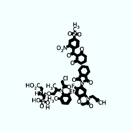 C#CCN1C(=O)COc2cc(F)c(N3C(=O)C4=C(CCCC4)C3=O)cc21.CCc1cccc(C)c1N(C(=O)CCl)C(C)COC.CS(=O)(=O)c1ccc(C(=O)C2C(=O)CCCC2=O)c([N+](=O)[O-])c1.O=C(O)CNCP(=O)(O)O